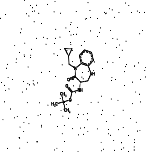 CC(C)(C)OC(=O)N[C@H]1CNc2ccccc2N(CC2CC2)C1=O